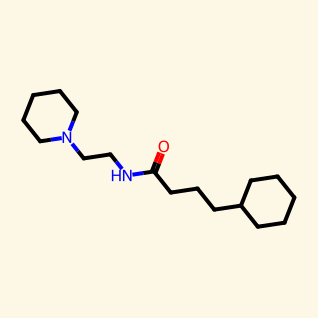 O=C(CCCC1CCCCC1)NCCN1CCCCC1